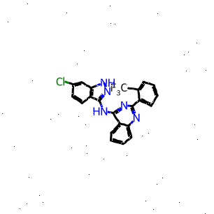 FC(F)(F)c1ccccc1-c1nc(Nc2n[nH]c3cc(Cl)ccc23)c2ccccc2n1